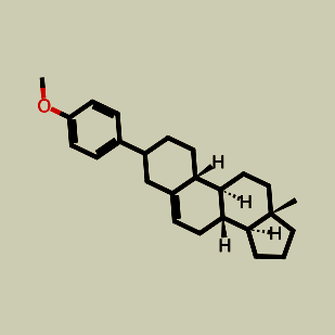 COc1ccc(C2CC[C@H]3C(=CC[C@@H]4[C@@H]3CC[C@]3(C)CCC[C@@H]43)C2)cc1